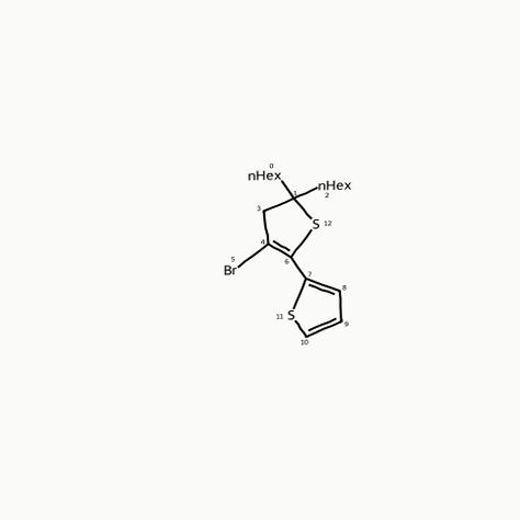 CCCCCCC1(CCCCCC)CC(Br)=C(c2cccs2)S1